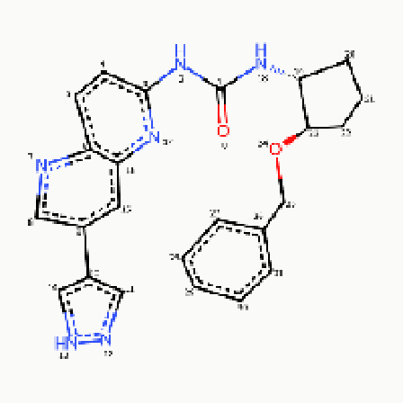 O=C(Nc1ccc2ncc(-c3cn[nH]c3)cc2n1)N[C@@H]1CCC[C@H]1OCc1ccccc1